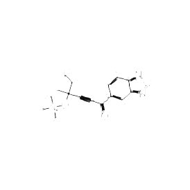 CC(C#CC(=O)c1ccc2nonc2c1)(CI)O[Si](C)(C)C